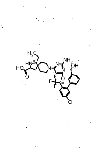 CC[C@@H]1NC(C(=O)O)CC12CCN(c1cc(O[C@H](c3ccc(Cl)cc3-c3cccc(CO)c3)C(F)(F)F)nc(N)n1)CC2